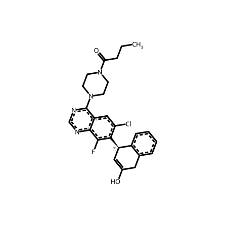 CCCC(=O)N1CCN(c2ncnc3c(F)c([C@@H]4C=C(O)Cc5ccccc54)c(Cl)cc23)CC1